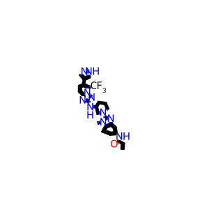 C=CC(=O)Nc1ccc2c(c1)nc(N1CCCC(Nc3nc4ccc(-c5cn[nH]c5)c(C(F)(F)F)n4n3)C1)n2C